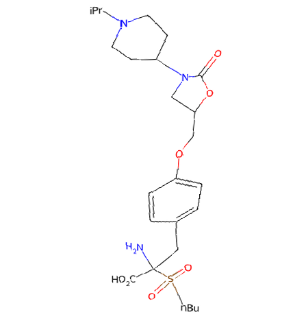 CCCCS(=O)(=O)C(N)(Cc1ccc(OCC2CN(C3CCN(C(C)C)CC3)C(=O)O2)cc1)C(=O)O